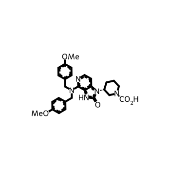 COc1ccc(CN(Cc2ccc(OC)cc2)c2nccc3c2[nH]c(=O)n3[C@@H]2CCCN(C(=O)O)C2)cc1